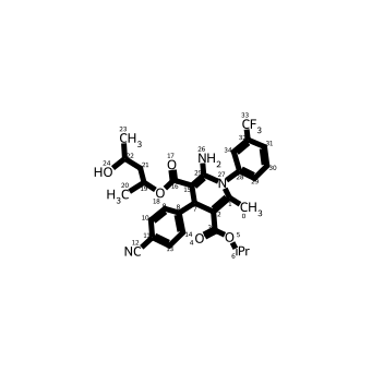 CC1=C(C(=O)OC(C)C)C(c2ccc(C#N)cc2)C(C(=O)OC(C)CC(C)O)=C(N)N1c1cccc(C(F)(F)F)c1